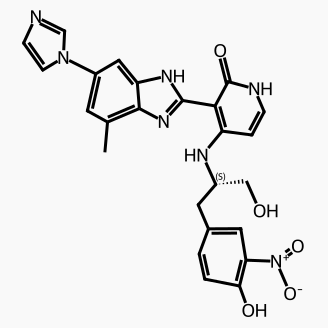 Cc1cc(-n2ccnc2)cc2[nH]c(-c3c(N[C@H](CO)Cc4ccc(O)c([N+](=O)[O-])c4)cc[nH]c3=O)nc12